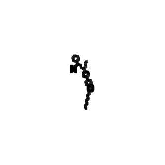 CCCCCCCCOc1ccc(-c2ccc([C@H](CCC)CCC(C#N)C3CCCCC3)cc2)cc1